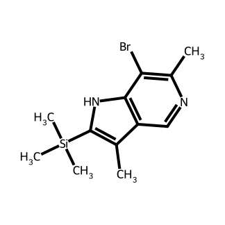 Cc1ncc2c(C)c([Si](C)(C)C)[nH]c2c1Br